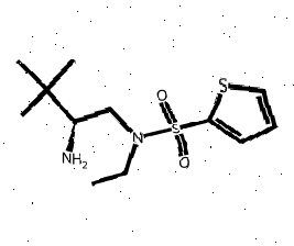 CCN(C[C@@H](N)C(C)(C)C)S(=O)(=O)c1cccs1